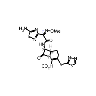 CO/N=C(\C(=O)N[C@@H]1C(=O)N2C(C(=O)O)=C(Sc3nncs3)CC[C@H]12)c1nsc(N)n1